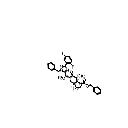 CC(=O)O[C@@H]1C(=O)N([C@@H](c2nc(-c3cc(F)ccc3F)nn2Cc2ccccc2)C(C)(C)C)C[C@@H]2C1N(C(=O)OCc1ccccc1)C[C@@H]2F